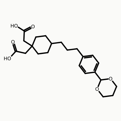 O=C(O)CC1(CC(=O)O)CCC(CCCc2ccc(C3OCCCO3)cc2)CC1